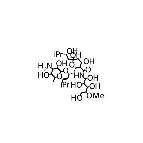 COC(CO)C(O)C(O)C(O)NC(=O)[C@H]1[C@H](C[C@H](/C=C/C(C)C)OC2OC(C)C(O)C(N)C2O)O[C@](O)(C[C@@H](O)C(C)C)C[C@@H]1O